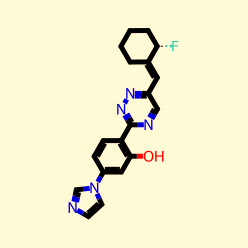 Oc1cc(-n2ccnc2)ccc1-c1ncc(/C=C2\CCCC[C@@H]2F)nn1